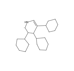 [C]1NC=C(C2CCCCC2)C(C2CCCCC2)C1C1CCCCC1